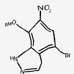 COc1c([N+](=O)[O-])cc(Br)c2cn[nH]c12